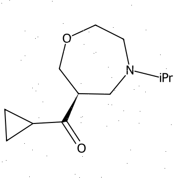 CC(C)N1CCOC[C@H](C(=O)C2CC2)C1